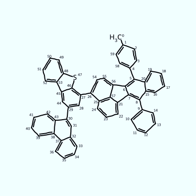 Cc1ccc(-c2c3c(c(-c4ccccc4)c4ccccc24)-c2cccc4c(-c5cc(-c6cc7ccccc7c7ccccc67)cc6c5sc5ccccc56)ccc-3c24)cc1